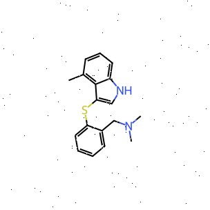 Cc1cccc2[nH]cc(Sc3ccccc3CN(C)C)c12